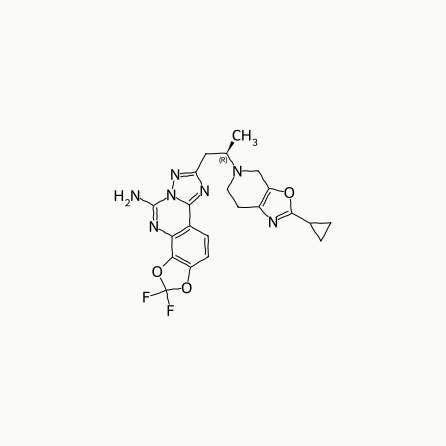 C[C@H](Cc1nc2c3ccc4c(c3nc(N)n2n1)OC(F)(F)O4)N1CCc2nc(C3CC3)oc2C1